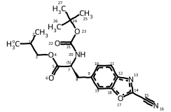 CC(C)COC(=O)[C@H](Cc1ccc2nc(C#N)oc2c1)NC(=O)OC(C)(C)C